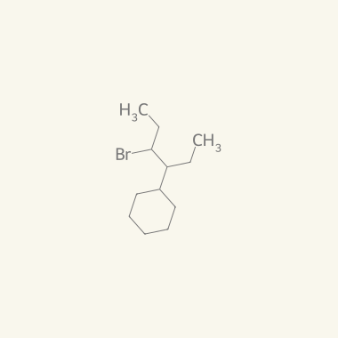 CCC(Br)C(CC)C1CCCCC1